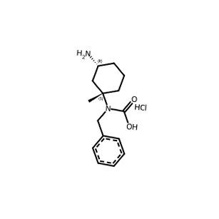 C[C@]1(N(Cc2ccccc2)C(=O)O)CCC[C@@H](N)C1.Cl